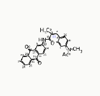 CC(=O)N(C)c1ccc(/C=C(/C)C(=O)Nc2ccc3c(c2)C(=O)c2ccccc2C3=O)cc1